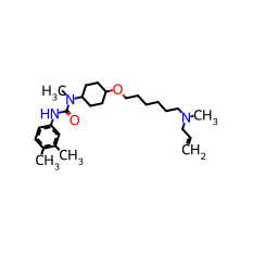 C=CCN(C)CCCCCCOC1CCC(N(C)C(=O)Nc2ccc(C)c(C)c2)CC1